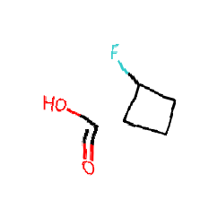 FC1CCC1.O=CO